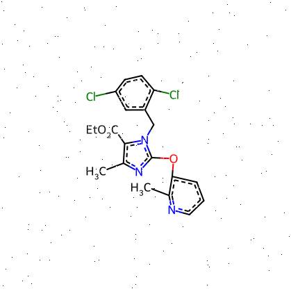 CCOC(=O)c1c(C)nc(Oc2cccnc2C)n1Cc1cc(Cl)ccc1Cl